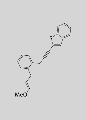 COC=CCc1ccccc1CC#Cc1cc2ccccc2s1